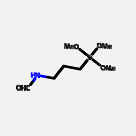 CO[Si](CCCNC=O)(OC)OC